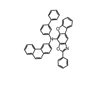 c1ccc(-c2cccc(N(c3ccc4ccc5ccccc5c4c3)c3c4oc(-c5ccccc5)nc4cc4c3oc3ccccc34)c2)cc1